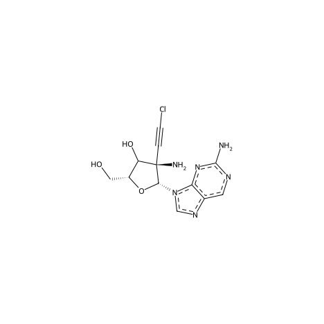 Nc1ncc2ncn([C@@H]3O[C@H](CO)C(O)[C@]3(N)C#CCl)c2n1